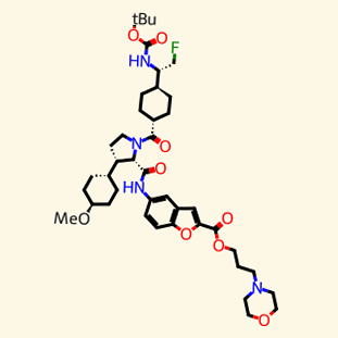 CO[C@H]1CC[C@H]([C@@H]2CCN(C(=O)[C@H]3CC[C@H]([C@@H](CF)NC(=O)OC(C)(C)C)CC3)[C@@H]2C(=O)Nc2ccc3oc(C(=O)OCCCN4CCOCC4)cc3c2)CC1